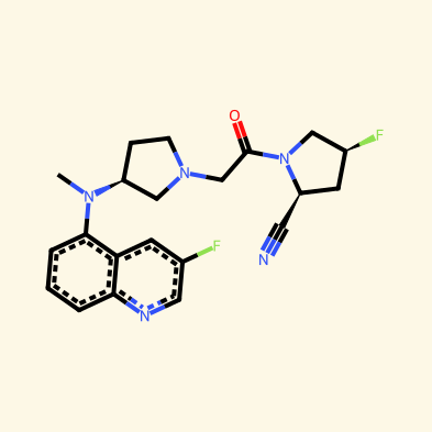 CN(c1cccc2ncc(F)cc12)[C@H]1CCN(CC(=O)N2C[C@@H](F)C[C@H]2C#N)C1